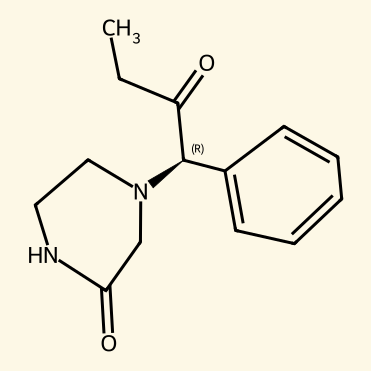 CCC(=O)[C@@H](c1ccccc1)N1CCNC(=O)C1